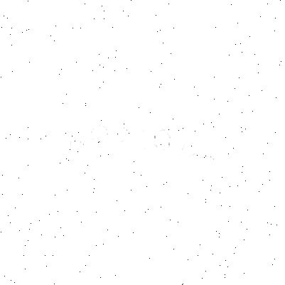 CC(C)(CN(Cc1ccc(N)cc1)C(=O)C(F)(F)F)c1ccc(S(=O)(=O)C=CC#N)cc1